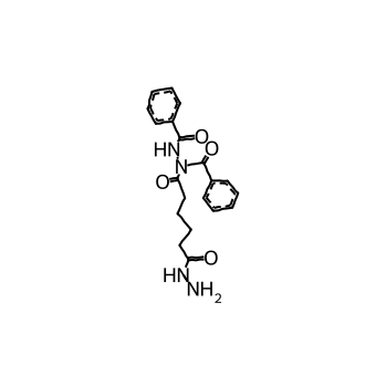 NNC(=O)CCCCC(=O)N(NC(=O)c1ccccc1)C(=O)c1ccccc1